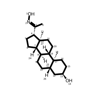 C/C(=N\O)[C@H]1CC[C@H]2[C@@H]3CC[C@H]4C[C@H](O)CC[C@]4(C)[C@H]3CC[C@]12C